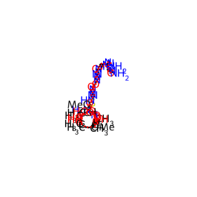 CO[C@H]1C[C@@H]2CC[C@@H](C)[C@@](O)(O2)C(=O)C(=O)N2CCCC[C@H]2C(=O)O[C@H]([C@H](N)C[C@@H]2CC[C@@H](OC(=S)NCc3cnc(N4CCN(C(=O)CCOCCN5CCN(c6ncc(C(=O)N7CCc8cc(Cn9nc(-c%10ccc%11oc(N)nc%11c%10)c%10c(N)ncnc%109)ccc8C7)cn6)CC5)CC4)nc3)[C@H](OC)C2)C[C@@H](O)[C@H](C)/C=C(\C)[C@@H](O)[C@@H](O)C(=O)[C@H](C)C[C@H](C)/C=C/C=C/C=C/1C